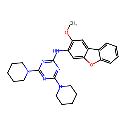 COc1cc2c(cc1Nc1nc(N3CCCCC3)nc(N3CCCCC3)n1)oc1ccccc12